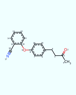 CC(=O)CCc1ccc(Oc2ccccc2C#N)cc1